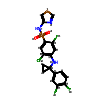 O=S(=O)(Nc1cscn1)c1cc(Cl)c(NC2(c3ccc(F)c(F)c3)CC2)cc1F